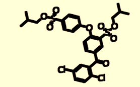 CC(C)COS(=O)(=O)c1ccc(Oc2ccc(C(=O)c3cc(Cl)ccc3Cl)cc2S(=O)(=O)OCC(C)C)cc1